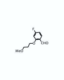 COCCCOc1cc(F)ccc1C=O